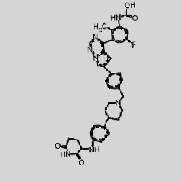 Cc1c(NC(=O)O)cc(F)cc1-c1ncnn2cc(-c3ccc(CN4CCC(c5ccc(NC6CCC(=O)NC6=O)cc5)CC4)cc3)cc12